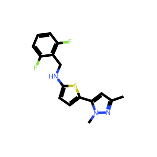 Cc1cc(-c2ccc(NCc3c(F)cccc3F)s2)n(C)n1